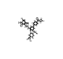 CCN(c1cc(-c2ccc(C(=O)N3CCC3)cc2)cc(CNCc2c(C)cc(C)[nH]c2=O)c1C)[C@H]1CC[C@H](N(C)C)CC1